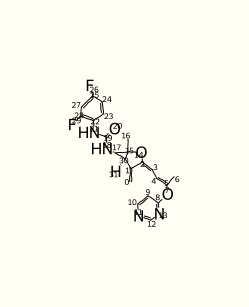 C=C1/C(=C\C=C(/C)Oc2ccncn2)OC2(C)[C@@H](NC(=O)Nc3ccc(F)cc3F)[C@H]12